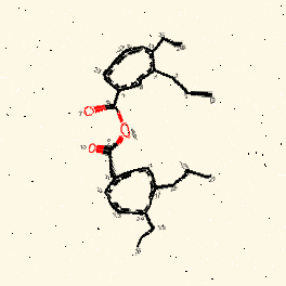 CCCc1cc(C(=O)OC(=O)c2ccc(CC)c(CCC)c2)ccc1CC